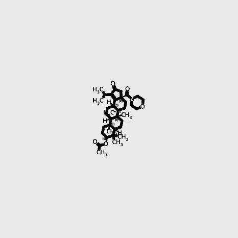 CC(=O)O[C@H]1CC[C@]2(C)[C@H]3CC[C@@H]4C5=C(C(C)C)C(=O)C[C@]5(C(=O)N5CCOCC5)CC[C@@]4(C)[C@]3(C)CC[C@H]2C1(C)C